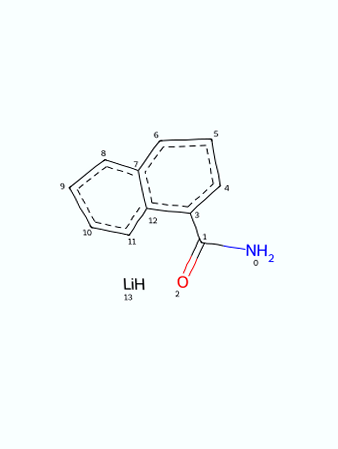 NC(=O)c1cccc2ccccc12.[LiH]